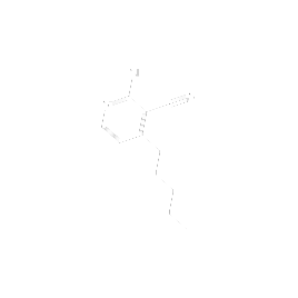 CCCCCc1ccnc(N)c1C#N